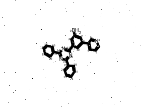 Bc1cc(-c2cccnc2)cc(-c2nc(-c3ccccc3)nc(-c3ccccc3)n2)c1